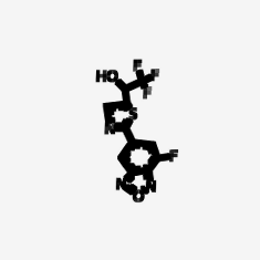 OC(c1cnc(-c2cc(F)c3nonc3c2)s1)C(F)(F)F